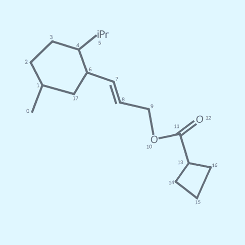 CC1CCC(C(C)C)C(C=CCOC(=O)C2CCC2)C1